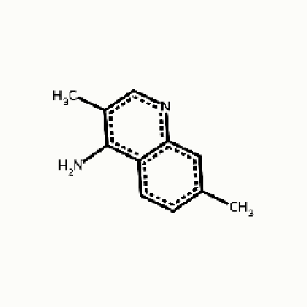 Cc1ccc2c(N)c(C)cnc2c1